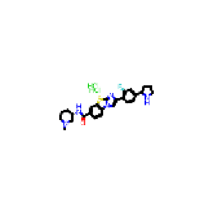 CN1CCC[C@H](NC(=O)c2ccc3c(c2)sc2nc(-c4ccc(C5CCCN5)cc4F)cn23)C1.Cl.Cl